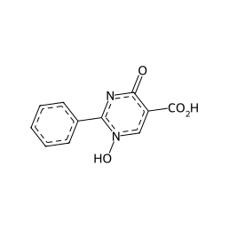 O=C(O)c1cn(O)c(-c2ccccc2)nc1=O